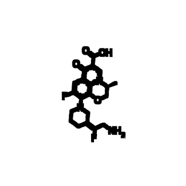 C[C@H]1COc2c(N3CCC/C(=C(\F)CN)C3)c(F)cc3c(=O)c(C(=O)O)cn1c23